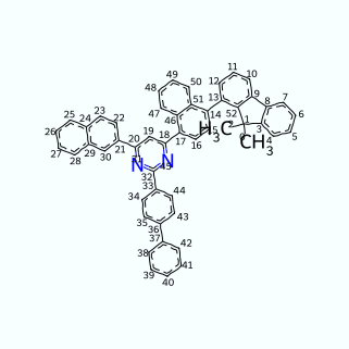 CC1(C)c2ccccc2-c2cccc(-c3ccc(-c4cc(-c5ccc6ccccc6c5)nc(-c5ccc(-c6ccccc6)cc5)n4)c4ccccc34)c21